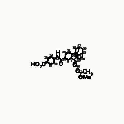 COC(C)OCOSc1cc(C(=O)Nc2ccc(C(=O)O)cc2)ccc1C12CC3CC(CC(C3)C1)C2